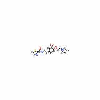 O=C(NCCc1ccc(OCCN2CCCC2)c(Br)c1)c1nccs1